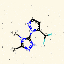 Cc1nnc(-n2nc[c]c2C(F)F)n1C